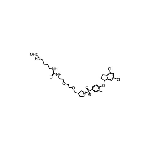 Cc1cc(S(=O)(=O)N2CC[C@@H](COCCOCCNC(=O)NCCCCNC=O)C2)ccc1O[C@@H]1CCc2c(Cl)cc(Cl)cc21